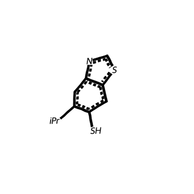 CC(C)c1cc2ncsc2cc1S